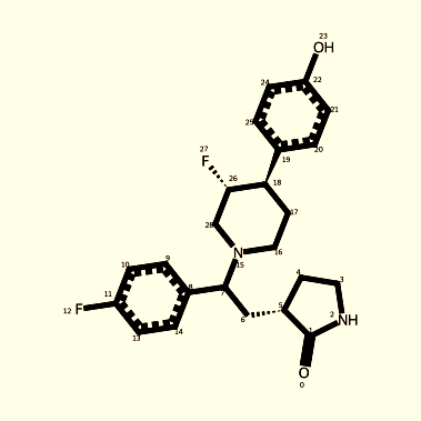 O=C1NCC[C@H]1CC(c1ccc(F)cc1)N1CC[C@H](c2ccc(O)cc2)[C@@H](F)C1